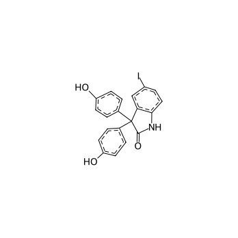 O=C1Nc2ccc(I)cc2C1(c1ccc(O)cc1)c1ccc(O)cc1